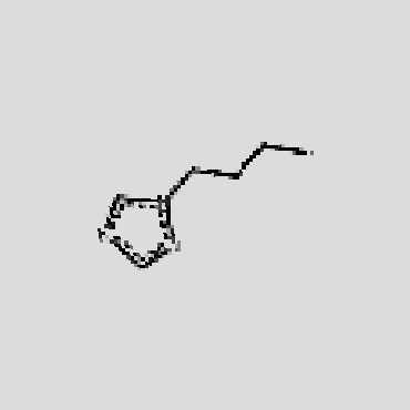 [CH2]CCCn1cncn1